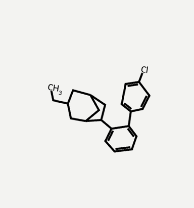 CCC1CC2CC(C1)C(c1ccccc1-c1ccc(Cl)cc1)C2